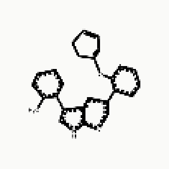 Cc1ccccc1-c1c[nH]c2ncc(-c3ccccc3OC3=CC=CCC3)cc12